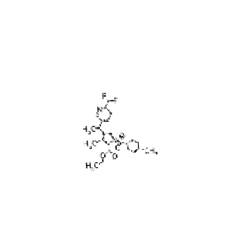 C=C(c1ccc(C(F)F)nc1)c1cn(S(=O)(=O)c2ccc(C)cc2)c(C(=O)OCC)c1C